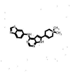 C[N+]1(C)CC=C(c2cc3c(Nc4ccc5ncsc5c4)ncnc3[nH]2)CC1